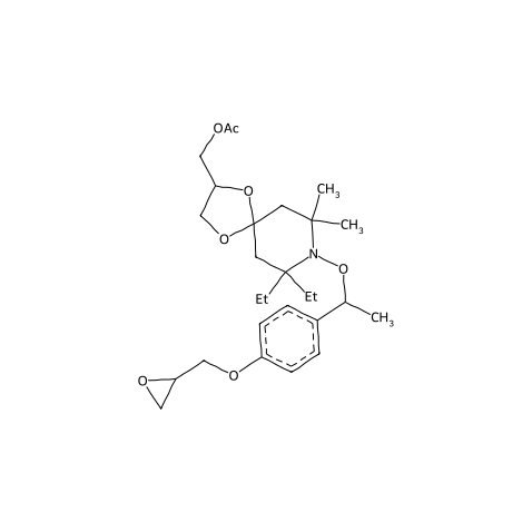 CCC1(CC)CC2(CC(C)(C)N1OC(C)c1ccc(OCC3CO3)cc1)OCC(COC(C)=O)O2